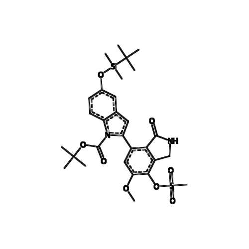 COc1cc(-c2cc3cc(O[Si](C)(C)C(C)(C)C)ccc3n2C(=O)OC(C)(C)C)c2c(c1OS(C)(=O)=O)CNC2=O